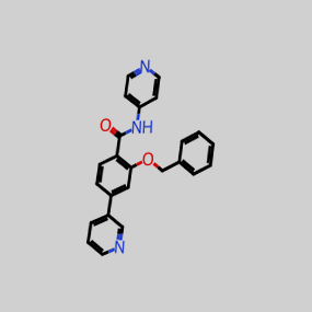 O=C(Nc1ccncc1)c1ccc(-c2cccnc2)cc1OCc1ccccc1